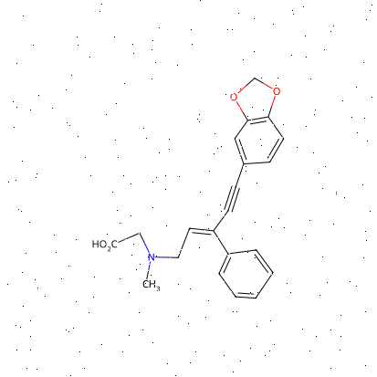 CN(CC=C(C#Cc1ccc2c(c1)OCO2)c1ccccc1)CC(=O)O